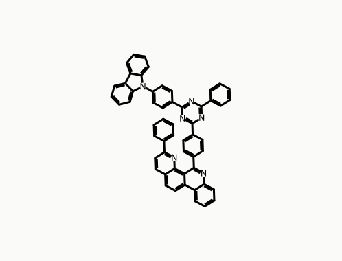 c1ccc(-c2ccc3ccc4c5ccccc5nc(-c5ccc(-c6nc(-c7ccccc7)nc(-c7ccc(-n8c9ccccc9c9ccccc98)cc7)n6)cc5)c4c3n2)cc1